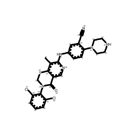 Cc1c(Nc2ccc(N3CCNCC3)c(C#N)c2)ncc2c1SCN(c1c(Cl)cccc1Cl)C2=O